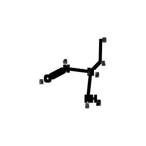 CCN(N)N=O